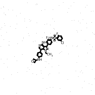 CCn1nc(-c2ccc(NS(=O)(=O)c3cc(Cl)ccc3F)c(F)c2)c2c(N)ncc(-c3ccc(NC4COC4)cc3)c21